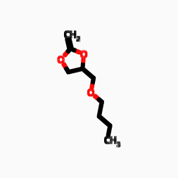 C=C1OCC(COCCCC)O1